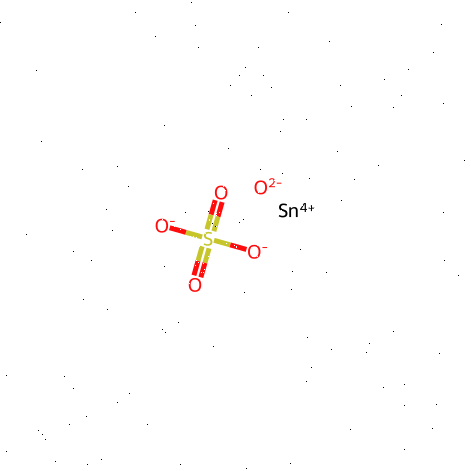 O=S(=O)([O-])[O-].[O-2].[Sn+4]